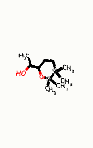 CC(O)C1CC[Si](C)(C)[Si](C)(C)O1